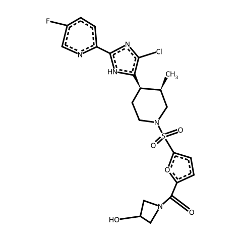 C[C@H]1CN(S(=O)(=O)c2ccc(C(=O)N3CC(O)C3)o2)CC[C@H]1c1[nH]c(-c2ccc(F)cn2)nc1Cl